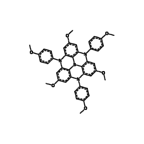 COc1ccc(N2c3cc(OC)cc4c3B3c5c2cc(OC)cc5N(c2ccc(OC)cc2)c2cc(OC)cc(c23)N4c2ccc(OC)cc2)cc1